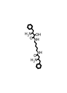 NC(CC(=O)NCCCCCNC(=O)C(O)C(N)Cc1ccccc1)Cc1ccccc1